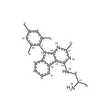 Cc1cc(C)c(-n2c3ccccc3c3c(NCC(C)N)nc(C)nc32)c(C)c1